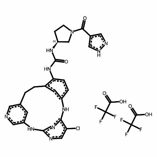 O=C(Nc1ccc2cc1CCc1cncc(c1)Nc1ncc(Cl)c(n1)N2)N[C@H]1CCN(C(=O)c2cn[nH]c2)C1.O=C(O)C(F)(F)F.O=C(O)C(F)(F)F